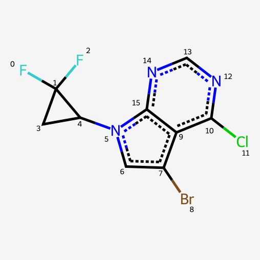 FC1(F)CC1n1cc(Br)c2c(Cl)ncnc21